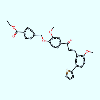 CCOC(=O)c1ccc(COc2ccc(C(=O)C=Cc3cc(-c4cccs4)ccc3OC)cc2OC)cc1